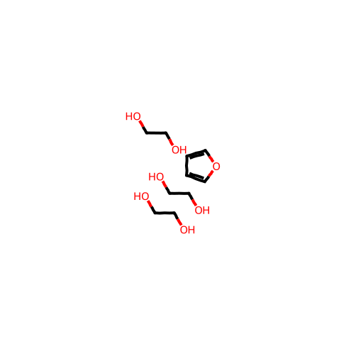 OCCO.OCCO.OCCO.c1ccoc1